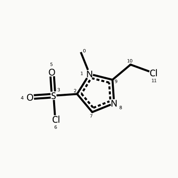 Cn1c(S(=O)(=O)Cl)cnc1CCl